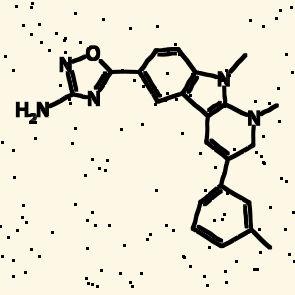 Cc1cccc(C2=Cc3c(n(C)c4ccc(-c5nc(N)no5)cc34)N(C)C2)c1